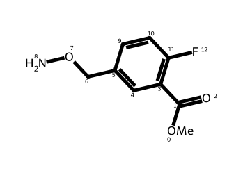 COC(=O)c1cc(CON)ccc1F